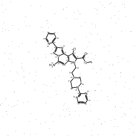 COC(=O)c1c(Cl)c2c(nc(N)n3nc(-c4ccccn4)nc23)n1CCN1CCN(c2ncccn2)CC1